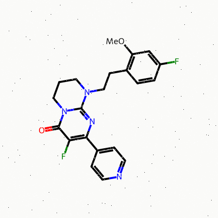 COc1cc(F)ccc1CCN1CCCn2c1nc(-c1ccncc1)c(F)c2=O